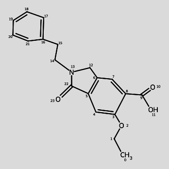 CCOc1cc2c(cc1C(=O)O)CN(CCc1ccccc1)C2=O